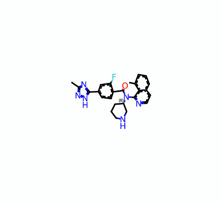 Cc1n[nH]c(-c2ccc(C(=O)N(c3nccc4cccc(C)c34)[C@@H]3CCCNC3)c(F)c2)n1